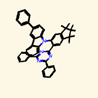 CC1(C)c2cc(-c3nc(-c4ccccc4)nc(-c4ccccc4)n3)c(-n3c4ccccc4c4cc(-c5ccccc5)ccc43)cc2C(C)(C)C1(C)C